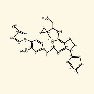 COCC(Nc1nc(Nc2ccc(-n3cnc(Cl)c3)c(OC)c2)nc2c1CCC2c1ccc(F)cc1)C1(I)CC1